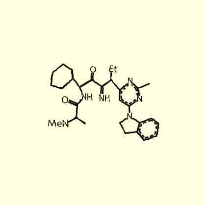 CCC(C(=N)C(=O)C(NC(=O)C(C)NC)C1CCCCC1)c1cc(N2CCc3ccccc32)nc(C)n1